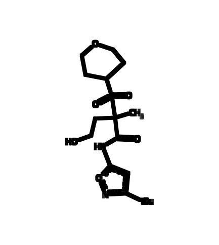 CC(C)(C)c1cc(NC(=O)C(C)(CCO)S(=O)(=O)C2CCOCC2)on1